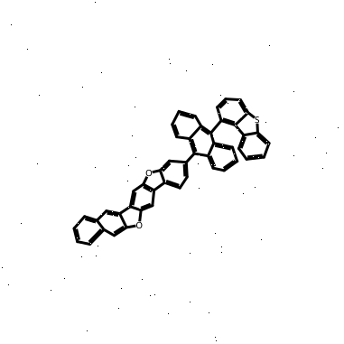 c1ccc2cc3c(cc2c1)oc1cc2c(cc13)oc1cc(-c3c4ccccc4c(-c4cccc5sc6ccccc6c45)c4ccccc34)ccc12